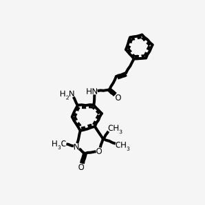 CN1C(=O)OC(C)(C)c2cc(NC(=O)/C=C/c3ccccc3)c(N)cc21